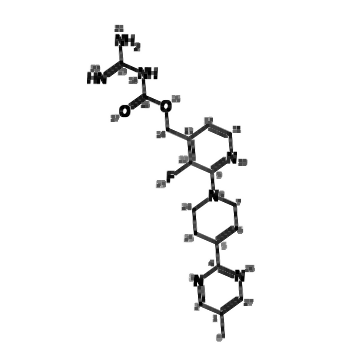 Cc1cnc(C2=CCN(c3nccc(COC(=O)NC(=N)N)c3F)CC2)nc1